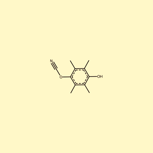 Cc1c(C)c(OC#N)c(C)c(C)c1O